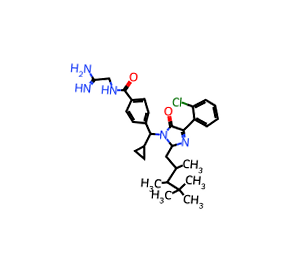 CC(CC1N=C(c2ccccc2Cl)C(=O)N1C(c1ccc(C(=O)NCC(=N)N)cc1)C1CC1)C(C)C(C)(C)C